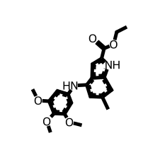 CCOC(=O)c1cc2c(Nc3cc(OC)c(OC)c(OC)c3)cc(C)cc2[nH]1